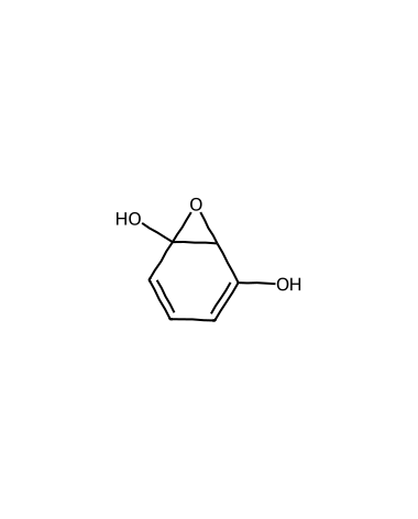 OC1=CC=CC2(O)OC12